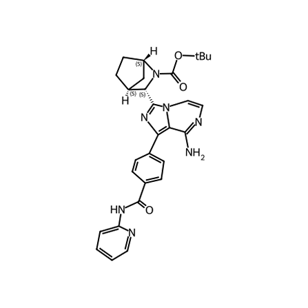 CC(C)(C)OC(=O)N1[C@H]2CC[C@@H](C2)[C@H]1c1nc(-c2ccc(C(=O)Nc3ccccn3)cc2)c2c(N)nccn12